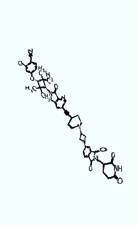 CC1(C)[C@H](Oc2ccc(C#N)c(Cl)c2)C(C)(C)[C@H]1N1Cc2cc(C#CC3CCN(C4CN(c5ccc6c(c5)C(=O)N(C5CCC(=O)NC5=O)C6=O)C4)CC3)cnc2C1=O